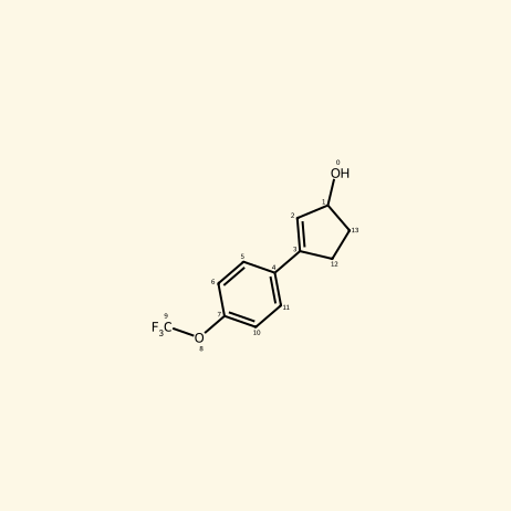 OC1C=C(c2ccc(OC(F)(F)F)cc2)CC1